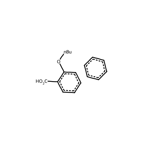 CCCCOc1ccccc1C(=O)O.c1ccccc1